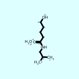 CC(C)CNC(=O)CCCCO.O